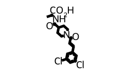 CC(NC(=O)C1CCN(C(=O)C=Cc2cc(Cl)cc(Cl)c2)CC1)C(=O)O